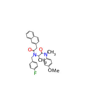 COc1ccc(N(C)C(=O)C(C)N(Cc2ccc(F)cc2)C(=O)Cc2ccc3ccccc3c2)cc1